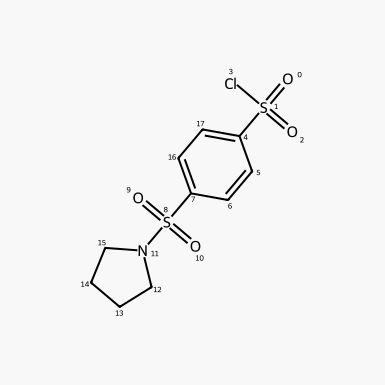 O=S(=O)(Cl)c1ccc(S(=O)(=O)N2CCCC2)cc1